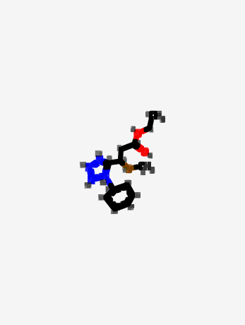 CCOC(=O)CC(SC)c1nnnn1-c1ccccc1